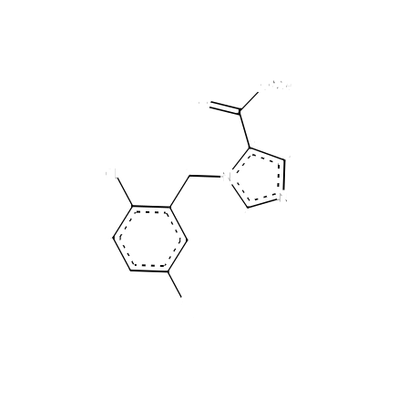 COC(=O)c1cncn1Cc1cc(Cl)ccc1Cl